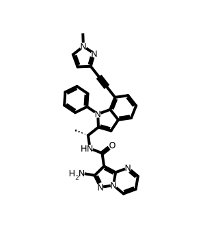 C[C@@H](NC(=O)c1c(N)nn2cccnc12)c1cc2cccc(C#Cc3ccn(C)n3)c2n1-c1ccccc1